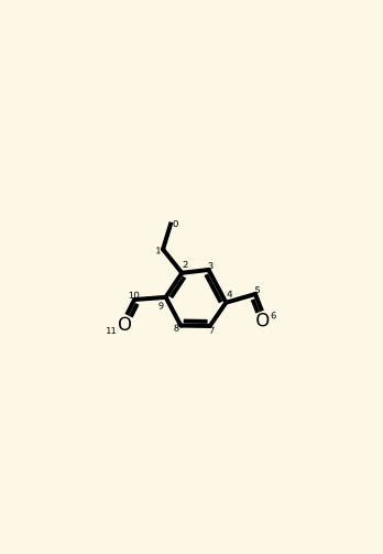 CCc1cc(C=O)ccc1C=O